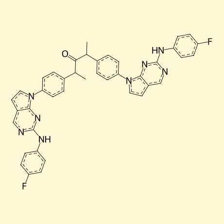 CC(C(=O)C(C)c1ccc(-n2ccc3cnc(Nc4ccc(F)cc4)nc32)cc1)c1ccc(-n2ccc3cnc(Nc4ccc(F)cc4)nc32)cc1